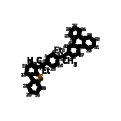 CC[C@](C)(c1ccc([C@](C)(CC)c2cccc3c2sc2ccccc23)cc1)c1ccc2c3ccccc3c3ccccc3c2c1